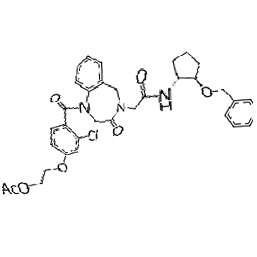 CC(=O)OCCOc1ccc(C(=O)N2CC(=O)N(CC(=O)N[C@@H]3CCC[C@H]3OCc3ccccc3)Cc3ccccc32)c(Cl)c1